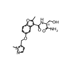 Cc1oc2ccc(OCc3ccnn3C)cc2c1C(=O)N[C@@H](CO)C(N)=O